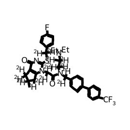 [2H]C([2H])(Sc1nc(=O)c2c(n1C([2H])([2H])C(=O)N(C([2H])([2H])c1ccc(-c3ccc(C(F)(F)F)cc3)cc1)C([2H])([2H])C([2H])([2H])N(CC)CC)C([2H])([2H])C([2H])(C)C2([2H])[2H])c1ccc(F)cc1